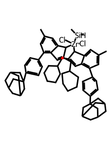 Cc1cc(-c2ccc(C34CC5CC(CC(C5)C3)C4)cc2)c2c(c1)[CH]([Zr]([Cl])([Cl])([CH]1C(CC3CCCCC3)=Cc3c(-c4ccc(C56CC7CC(CC(C7)C5)C6)cc4)cc(C)cc31)[SiH](C)C)C(CC1CCCCC1)=C2